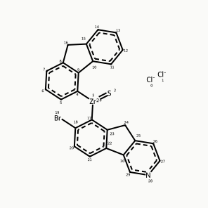 [Cl-].[Cl-].[S]=[Zr+2]([c]1cccc2c1-c1ccccc1C2)[c]1c(Br)ccc2c1Cc1ccncc1-2